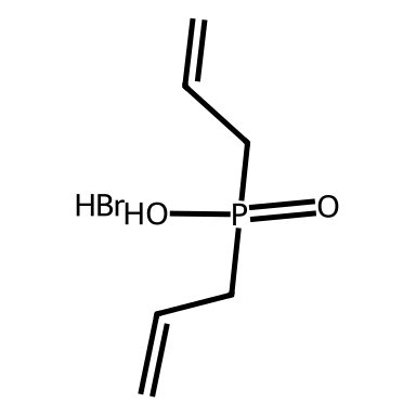 Br.C=CCP(=O)(O)CC=C